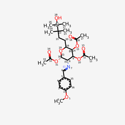 COc1ccc(/C=N/[C@H]2C(OC(C)=O)[C@H](OC(C)=O)C(CCC(C)(C)[Si](C)(C)O)O[C@H]2OC(C)=O)cc1